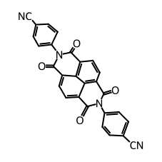 N#Cc1ccc(N2C(=O)c3ccc4c5c(ccc(c35)C2=O)C(=O)N(c2ccc(C#N)cc2)C4=O)cc1